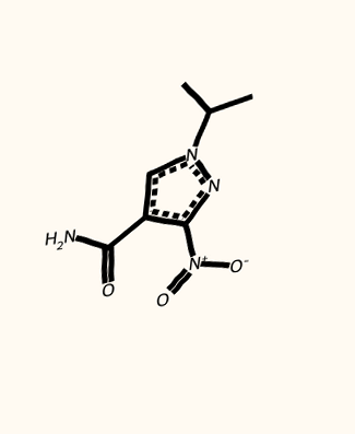 CC(C)n1cc(C(N)=O)c([N+](=O)[O-])n1